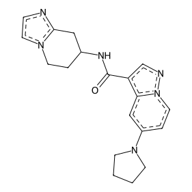 O=C(NC1CCn2ccnc2C1)c1cnn2ccc(N3CCCC3)cc12